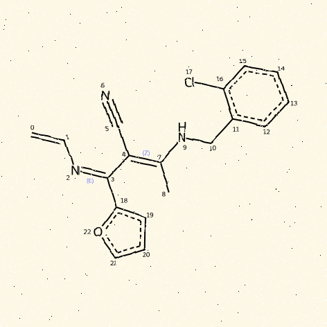 C=C/N=C(\C(C#N)=C(/C)NCc1ccccc1Cl)c1ccco1